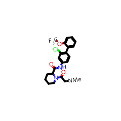 CNCC(=O)N1CCCCC1C(=O)Nc1ccc(-c2ccccc2OC(F)(F)F)c(Cl)c1